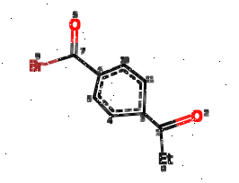 CCC(=O)c1ccc(C(=O)Br)cc1